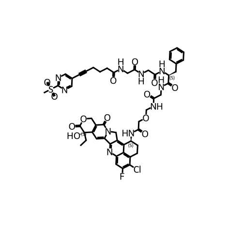 CC[C@@]1(O)C(=O)OCc2c1cc1n(c2=O)Cc2c-1nc1cc(F)c(Cl)c3c1c2[C@@H](NC(=O)COCNC(=O)CNC(=O)[C@H](Cc1ccccc1)NC(=O)CNC(=O)CNC(=O)CCCC#Cc1cnc(S(C)(=O)=O)nc1)CC3